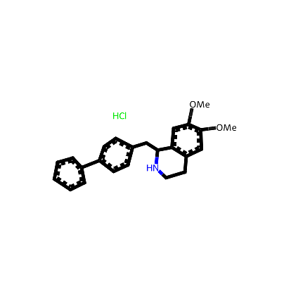 COc1cc2c(cc1OC)C(Cc1ccc(-c3ccccc3)cc1)NCC2.Cl